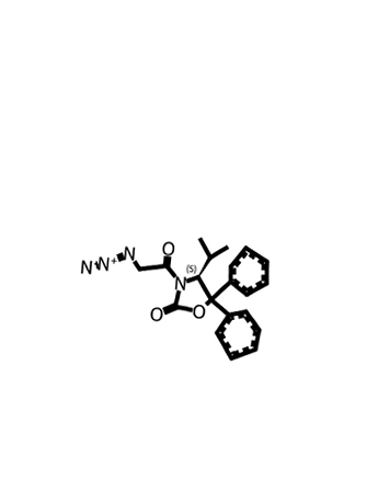 CC(C)[C@@H]1N(C(=O)CN=[N+]=[N-])C(=O)OC1(c1ccccc1)c1ccccc1